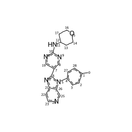 Cc1ccc(-n2c(-c3cnc(NC4CCOCC4)nc3)nc3ccncc32)cc1